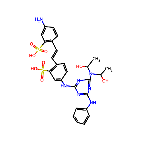 CC(O)N(c1nc(Nc2ccccc2)nc(Nc2ccc(C=Cc3ccc(N)cc3S(=O)(=O)O)c(S(=O)(=O)O)c2)n1)C(C)O